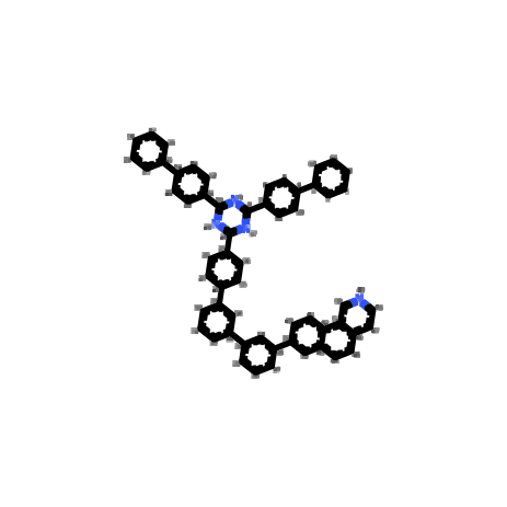 c1ccc(-c2ccc(-c3nc(-c4ccc(-c5ccccc5)cc4)nc(-c4ccc(-c5cccc(-c6cccc(-c7ccc8c(ccc9ccncc98)c7)c6)c5)cc4)n3)cc2)cc1